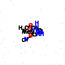 COc1cc(Nc2nccc(Nc3cnc4c(c3)OCC(C)O4)n2)ccc1OCCCN1CCCCC1